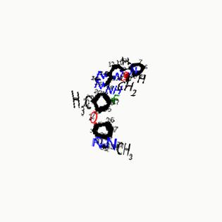 C=CC(=O)N1[C@@H]2CC[C@H]1[C@H](c1ccc3ncnc(Nc4cc(C)c(Oc5ccc6c(c5)ncn6C)cc4F)c3n1)C2